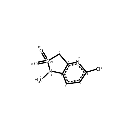 CN1c2ccc(Cl)nc2CS1(=O)=O